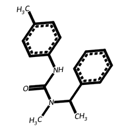 Cc1ccc(NC(=O)N(C)C(C)c2ccccc2)cc1